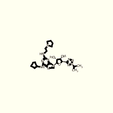 CC(C)n1nnc([C@H]2O[C@@H](n3cnc4c(NC5CCCC5)nc(NCCN5CCCC5)nc43)[C@H](O)[C@@H]2O)n1